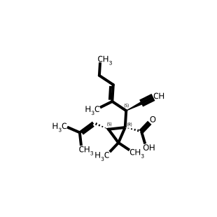 C#C[C@H](C(C)=CCC)[C@]1(C(=O)O)[C@@H](C=C(C)C)C1(C)C